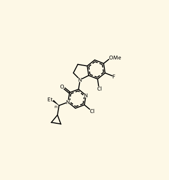 CC[C@H](C1CC1)n1cc(Cl)nc(N2CCc3cc(OC)c(F)c(Cl)c32)c1=O